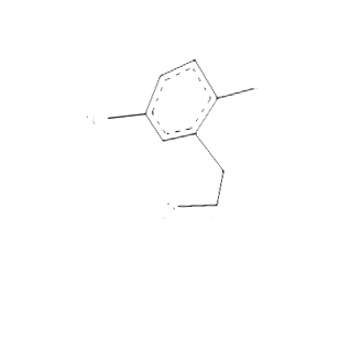 C[C@H](N)Cc1cc(C#N)ccc1Cl